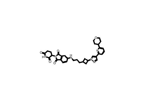 O=C1CCC(N2C(=O)c3ccc(NCCCC4CC(n5cc(-c6cccc(C7CCOCC7)n6)cn5)C4)cc3C2=O)C(=O)N1